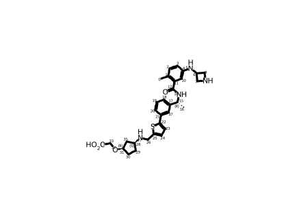 Cc1ccc(NC2CNC2)cc1C(=O)N[C@H](C)c1cccc(-c2ccc(CN[C@H]3CC[C@@H](OCC(=O)O)C3)s2)c1